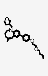 CCCCOCCOc1ccc(-c2ccc3c(c2)/C=C(/C)CCCN3CC2CCOC2)cc1